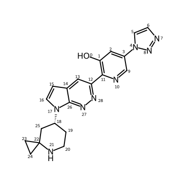 Oc1cc(-n2ccnn2)cnc1-c1cc2ccn([C@@H]3CCNC4(CC4)C3)c2nn1